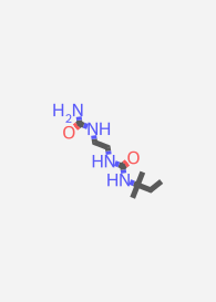 CCC(C)(C)NC(=O)NCCNC(N)=O